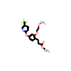 CCOC(=O)CCc1ccc(Oc2ccc(C(F)(F)F)cn2)cc1OCCOC